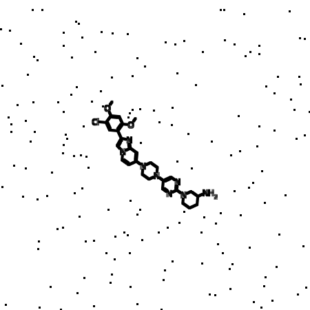 COc1cc(OC)c(-c2cn3ccc(N4CCN(c5cnc(N6CCCC(N)C6)nc5)CC4)cc3n2)cc1Cl